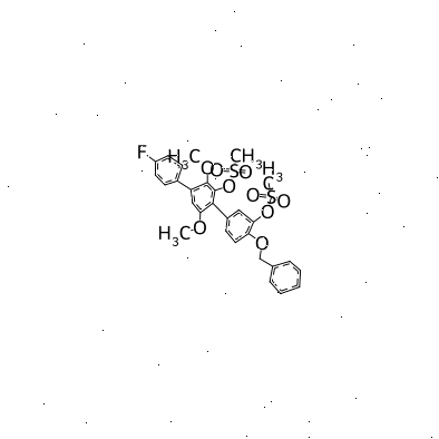 COc1cc(-c2ccc(F)cc2)c(OC)c(OS(C)(=O)=O)c1-c1ccc(OCc2ccccc2)c(OS(C)(=O)=O)c1